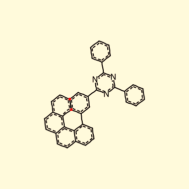 c1ccc(-c2nc(-c3ccccc3)nc(-c3cccc(-c4cccc5ccc6ccc7ccccc7c6c45)c3)n2)cc1